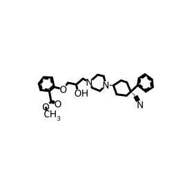 COC(=O)c1ccccc1OCC(O)CN1CCN([C@H]2CC[C@](C#N)(c3ccccc3)CC2)CC1